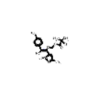 CCn1nc(C)cc1/C(OCOC(=O)C(C)(C)CC)=C(\C#N)c1ccc(C(C)(C)C)cc1